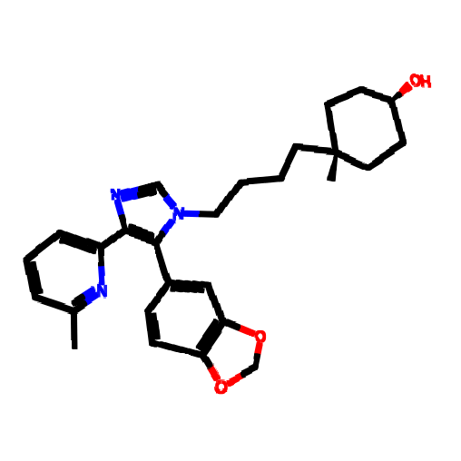 Cc1cccc(-c2ncn(CCCC[C@]3(C)CC[C@@H](O)CC3)c2-c2ccc3c(c2)OCO3)n1